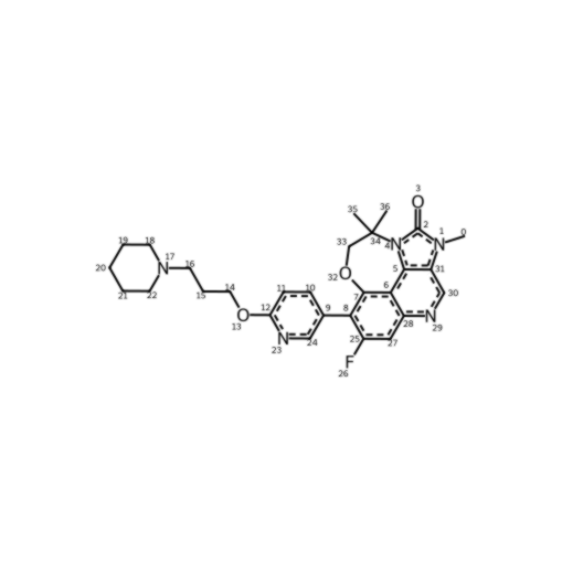 Cn1c(=O)n2c3c4c(c(-c5ccc(OCCCN6CCCCC6)nc5)c(F)cc4ncc31)OCC2(C)C